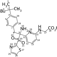 CCCCC(C)(C)c1ccc(CC(N)(c2cccc(NCC(=O)O)n2)S(=O)(=O)c2nccs2)cc1